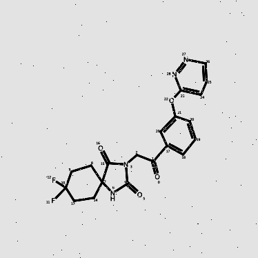 O=C(CN1C(=O)NC2(CCC(F)(F)CC2)C1=O)c1cccc(Oc2cccnn2)c1